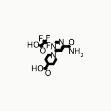 NC(=O)c1cc(N2CCC(C(=O)O)CC2)ncn1.O=C(O)C(F)(F)F